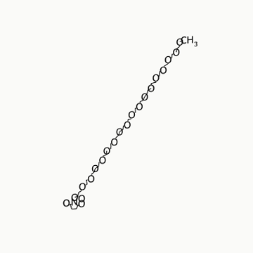 COCCOCCOCCOCCOCCOCCOCCOCCOCCOCCOCCOCCOCCOCCOCCOCCOCCC(=O)ON1C(=O)CCC1=O